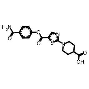 NC(=O)c1ccc(OC(=O)c2cnc(N3CCC(C(=O)O)CC3)s2)cc1